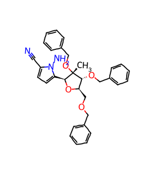 C[C@@]1(OCc2ccccc2)[C@H](OCc2ccccc2)[C@@H](COCc2ccccc2)O[C@H]1c1ccc(C#N)n1N